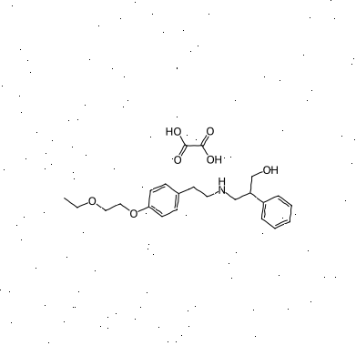 CCOCCOc1ccc(CCNCC(CO)c2ccccc2)cc1.O=C(O)C(=O)O